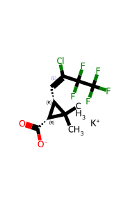 CC1(C)[C@H](C(=O)[O-])[C@@H]1/C=C(/Cl)C(F)(F)C(F)(F)F.[K+]